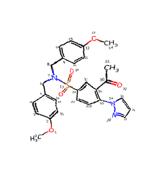 COc1ccc(CN(Cc2ccc(OC)cc2)S(=O)(=O)c2ccc(-n3cccn3)c(C(C)=O)c2)cc1